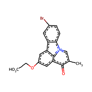 Cc1cn2c3ccc(Br)cc3c3cc(OCC(=O)O)cc(c1=O)c32